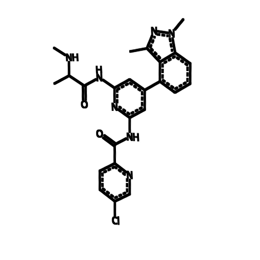 CNC(C)C(=O)Nc1cc(-c2cccc3c2c(C)nn3C)cc(NC(=O)c2ccc(Cl)cn2)n1